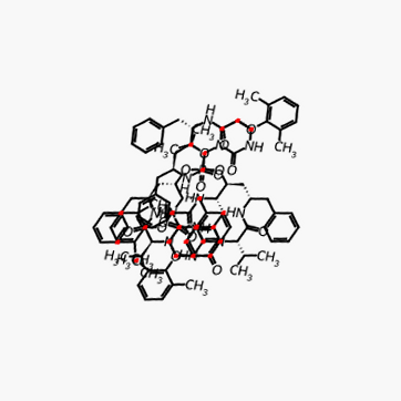 Cc1cccc(C)c1OCC(=O)N[C@@H](Cc1ccccc1)[C@H](C[C@H](Cc1ccccc1)NC(=O)[C@H](C(C)C)N1CCCNC1=O)OP(=O)(O[C@@H](C[C@H](Cc1ccccc1)NC(=O)[C@H](C(C)C)N1CCCNC1=O)[C@H](Cc1ccccc1)NC(=O)COc1c(C)cccc1C)O[C@@H](C[C@H](Cc1ccccc1)NC(=O)[C@H](C(C)C)N1CCCNC1=O)[C@H](Cc1ccccc1)NC(=O)COc1c(C)cccc1C